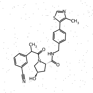 Cc1ncsc1-c1ccc(CNC(=O)[C@@H]2C[C@@H](O)CN2C(=O)C(C)c2cccc(C#N)c2)cc1